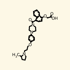 CC1CCCN1CCCOc1ccc(N2CCN(C(=O)c3ccc(OCC(=O)O)c4ccccc34)CC2)cc1